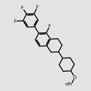 CCCOC1CCC(C2CCc3c(ccc(-c4cc(F)c(F)c(F)c4)c3F)C2)CC1